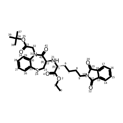 CCOC(=O)[C@@H](CCCCN1C(=O)c2ccccc2C1=O)N[C@H]1CSc2ccccc2N(CC(=O)OC(C)(C)C)C1=O